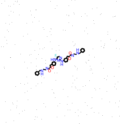 O=C(N=CCNCc1ccccc1)c1cc2cc(Nc3ncc(F)c(Nc4ccc5oc(C(=O)N=CCNCc6ccccc6)cc5c4)n3)ccc2o1